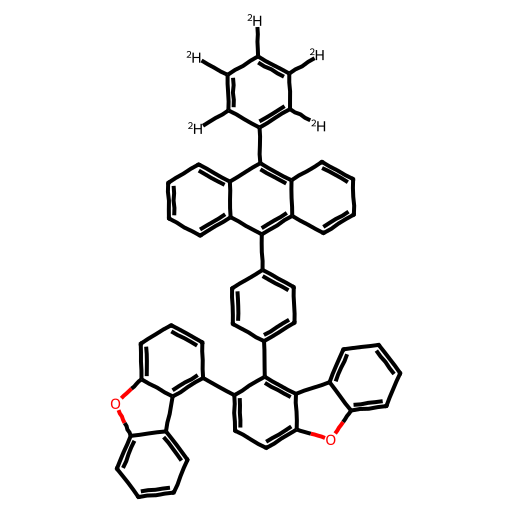 [2H]c1c([2H])c([2H])c(-c2c3ccccc3c(-c3ccc(-c4c(-c5cccc6oc7ccccc7c56)ccc5oc6ccccc6c45)cc3)c3ccccc23)c([2H])c1[2H]